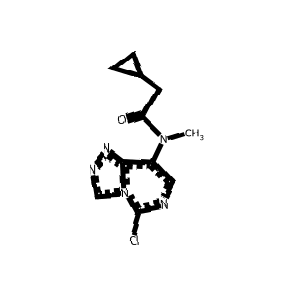 CN(C(=O)CC1CC1)c1cnc(Cl)n2cnnc12